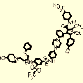 CCn1c(C)c(C(=O)NC2CCC(C(=O)O)CC2)c(-c2cccc(N3CCN(c4ccc(NS(=O)(=O)c5ccc(NC(CCN6CCC(O)CC6)CSc6ccccc6)c(S(=O)(=O)C(F)(F)F)c5)cc4)CC3)c2)c1-c1ccc(Cl)cc1